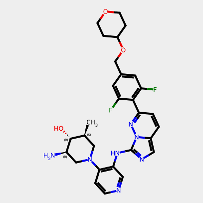 C[C@H]1CN(c2ccncc2Nc2ncc3ccc(-c4c(F)cc(COC5CCOCC5)cc4F)nn23)C[C@@H](N)[C@@H]1O